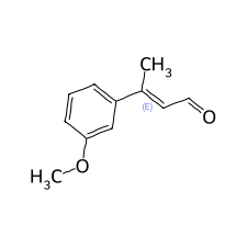 COc1cccc(/C(C)=C/C=O)c1